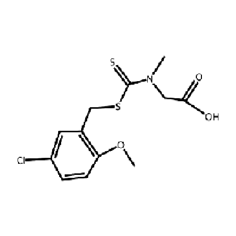 COc1ccc(Cl)cc1CSC(=S)N(C)CC(=O)O